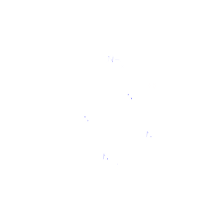 Nc1nc(O)c(N)[n+]([O-])c1N